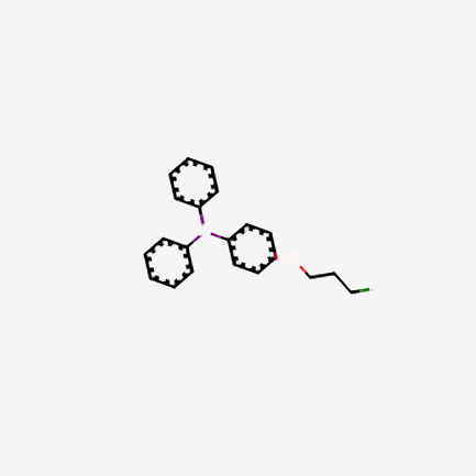 OCCCBr.c1ccc(P(c2ccccc2)c2ccccc2)cc1